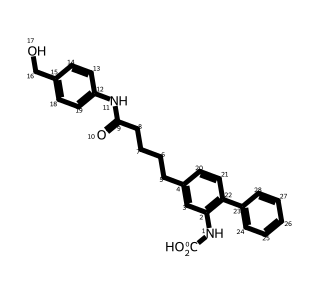 O=C(O)Nc1cc(CCCCC(=O)Nc2ccc(CO)cc2)ccc1-c1ccccc1